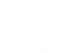 C[As](C)Cc1ccc(C(=O)NCCNCC2CC2)cc1Oc1cccnc1